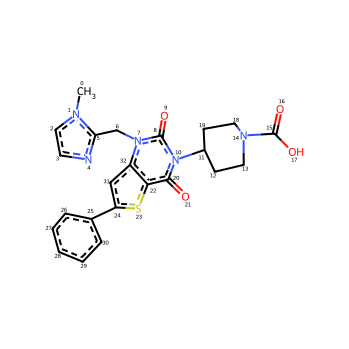 Cn1ccnc1Cn1c(=O)n(C2CCN(C(=O)O)CC2)c(=O)c2sc(-c3ccccc3)cc21